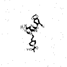 CC(O)C(=O)N1CCC(CCn2cnc(N)c3nc(Sc4cc5c(cc4C#N)OCCO5)nc2-3)CC1